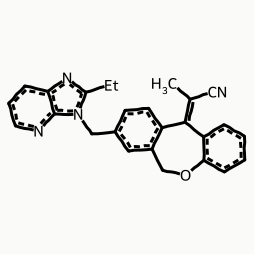 CCc1nc2cccnc2n1Cc1ccc2c(c1)COc1ccccc1/C2=C(/C)C#N